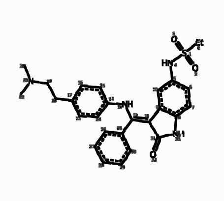 CCS(=O)(=O)Nc1ccc2c(c1)C(=C(Nc1ccc(CCN(C)C)cc1)c1ccccc1)C(=O)N2